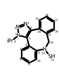 CC(C)n1nnc2c1-c1ccccc1N(S)Cc1ccccc1-2